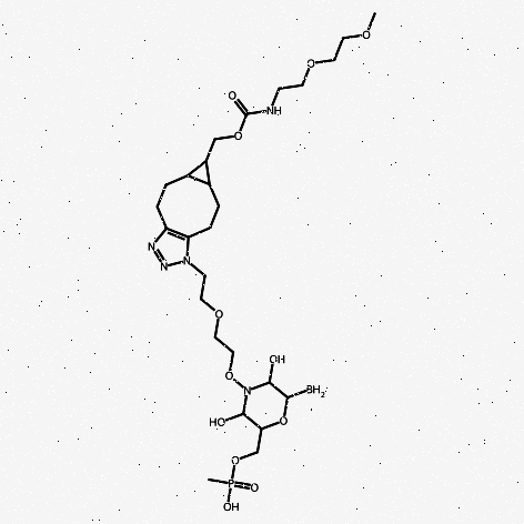 BC1OC(COP(C)(=O)O)C(O)N(OCCOCCn2nnc3c2CCC2C(CC3)C2COC(=O)NCCOCCOC)C1O